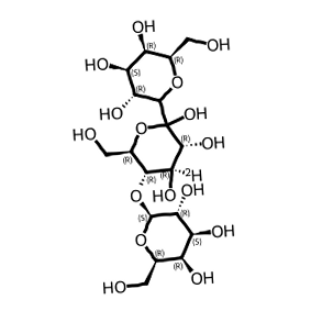 [2H][C@]1(O)[C@H](O[C@@H]2O[C@H](CO)[C@H](O)[C@H](O)[C@H]2O)[C@@H](CO)OC(O)(C2O[C@H](CO)[C@H](O)[C@H](O)[C@H]2O)[C@@H]1O